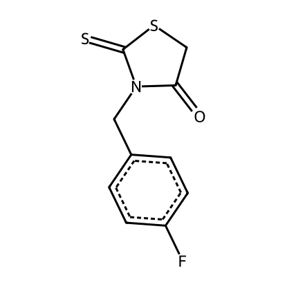 O=C1CSC(=S)N1Cc1ccc(F)cc1